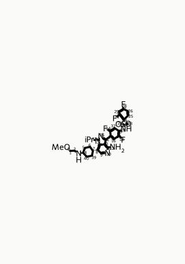 COCCN[C@H]1CC[C@H](c2cnc(N)c3c(-c4cc(F)c(NS(=O)(=O)c5ccc(F)cc5F)cc4F)nn(C(C)C)c32)CC1